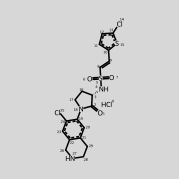 Cl.O=C1[C@@H](NS(=O)(=O)/C=C/c2ccc(Cl)s2)CCN1c1cc2c(cc1Cl)CNCC2